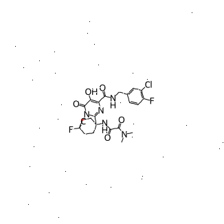 CN(C)C(=O)C(=O)NC12CCC(F)(CC1)Cn1c2nc(C(=O)NCc2ccc(F)c(Cl)c2)c(O)c1=O